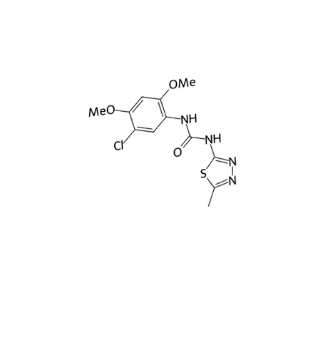 COc1cc(OC)c(NC(=O)Nc2nnc(C)s2)cc1Cl